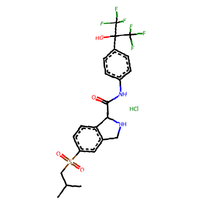 CC(C)CS(=O)(=O)c1ccc2c(c1)CNC2C(=O)Nc1ccc(C(O)(C(F)(F)F)C(F)(F)F)cc1.Cl